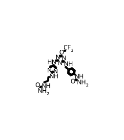 NC(=O)NCCCNc1ncc(Nc2nc(NCc3ccc(NC(N)=O)cc3)nc(OCC(F)(F)F)n2)cn1